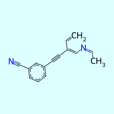 C=C/C(C#Cc1cccc(C#N)c1)=C\N=C/C